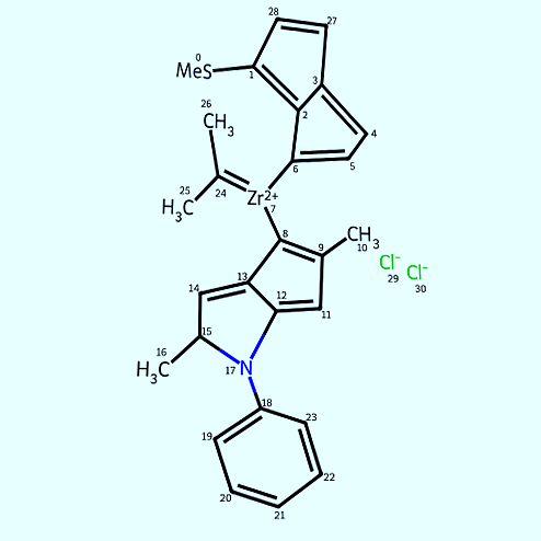 CSC1=C2C(=CC=[C]2[Zr+2]([C]2=C(C)C=C3C2=CC(C)N3c2ccccc2)=[C](C)C)C=C1.[Cl-].[Cl-]